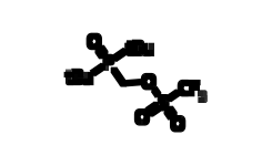 CC(C)(C)P(=O)(COS(=O)(=O)C(F)(F)F)C(C)(C)C